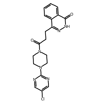 O=C(CCc1n[nH]c(=O)c2ccccc12)N1CCN(c2ncc(Cl)cn2)CC1